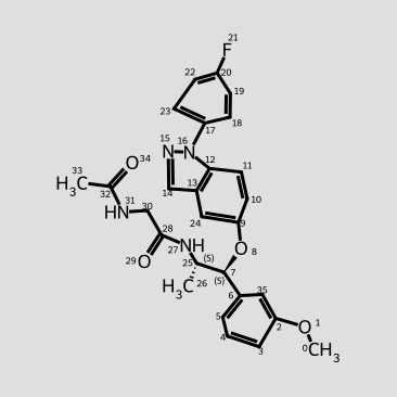 COc1cccc([C@H](Oc2ccc3c(cnn3-c3ccc(F)cc3)c2)[C@H](C)NC(=O)CNC(C)=O)c1